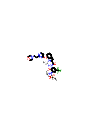 COc1c(NC(=O)c2cc3cccc(Oc4ccnc(CCN5CCOCC5)n4)c3n2C)cc(C(F)(F)F)cc1NS(C)(=O)=O